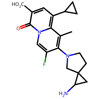 Cc1c(N2CCC3(CC3N)C2)c(F)cn2c(=O)c(C(=O)O)cc(C3CC3)c12